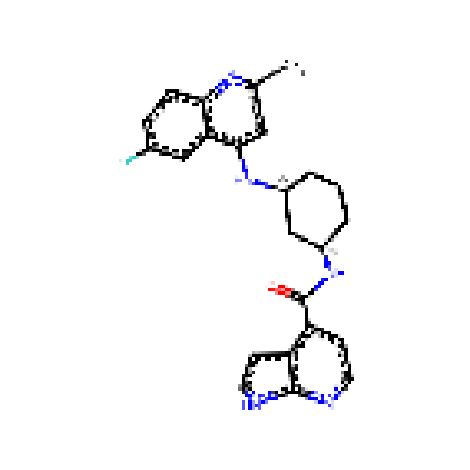 O=C(N[C@@H]1CCC[C@H](Nc2cc(C(F)(F)F)nc3ccc(F)cc23)C1)c1ccnc2[nH]ccc12